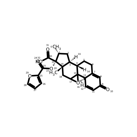 C[C@@H]1C[C@H]2[C@@H]3CCC4=CC(=O)C=C[C@]4(C)C34OC4C[C@]2(C)[C@@]1(OC(=O)c1ccco1)C(=O)O